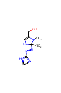 CN1C(CO)=CNC1(N=Nc1ncc[nH]1)[N+](=O)[O-]